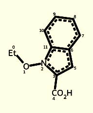 CCOn1c(C(=O)O)cc2ccccc21